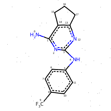 Nc1nc(Nc2ccc(C(F)(F)F)cc2)nc2c1CCC2